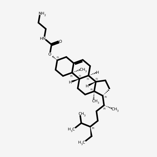 CC[C@H](CC[C@@H](C)[C@H]1CC[C@H]2[C@@H]3CC=C4C[C@@H](OC(=O)NCCN)CC[C@]4(C)[C@H]3CC[C@]12C)C(C)C